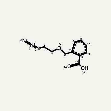 [N-]=[N+]=NCCOCc1ccccc1C(=O)O